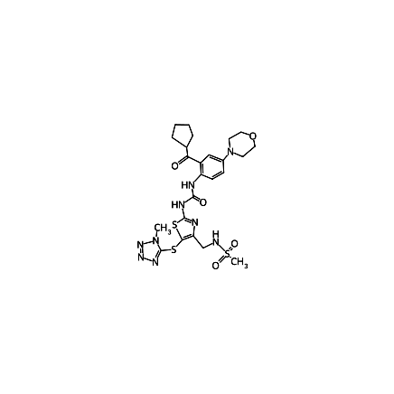 Cn1nnnc1Sc1sc(NC(=O)Nc2ccc(N3CCOCC3)cc2C(=O)C2CCCC2)nc1CNS(C)(=O)=O